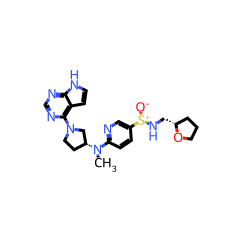 CN(c1ccc([S+]([O-])NC[C@@H]2CCCO2)cn1)[C@@H]1CCN(c2ncnc3[nH]ccc23)C1